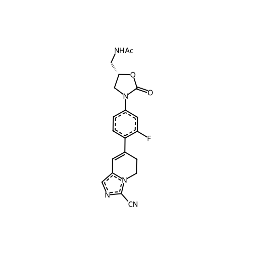 CC(=O)NC[C@H]1CN(c2ccc(C3=Cc4cnc(C#N)n4CC3)c(F)c2)C(=O)O1